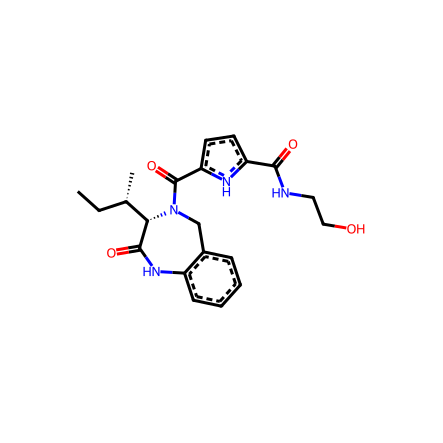 CC[C@H](C)[C@H]1C(=O)Nc2ccccc2CN1C(=O)c1ccc(C(=O)NCCO)[nH]1